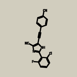 N#Cc1ccc(C#Cc2[nH]c(-c3c(F)cccc3Cl)nc2C#N)cc1